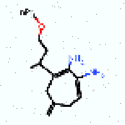 C=C1CC=C(N)C(N)=C(C(C)CCOCCC)C1